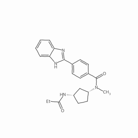 CCC(=O)N[C@H]1CC[C@@H](N(C)C(=O)c2ccc(-c3nc4ccccc4[nH]3)cc2)C1